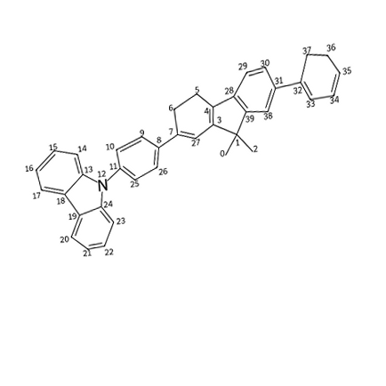 CC1(C)C2=C(CCC(c3ccc(-n4c5ccccc5c5ccccc54)cc3)=C2)c2ccc(C3=CC=CCC3)cc21